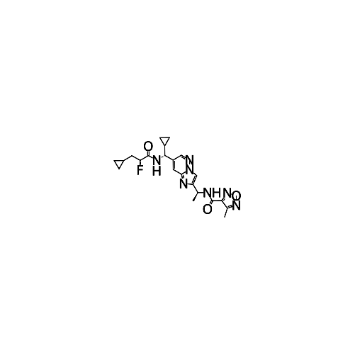 Cc1nonc1C(=O)N[C@@H](C)c1cn2ncc([C@H](NC(=O)[C@@H](F)CC3CC3)C3CC3)cc2n1